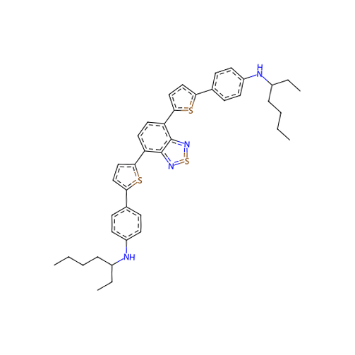 CCCCC(CC)Nc1ccc(-c2ccc(-c3ccc(-c4ccc(-c5ccc(NC(CC)CCCC)cc5)s4)c4nsnc34)s2)cc1